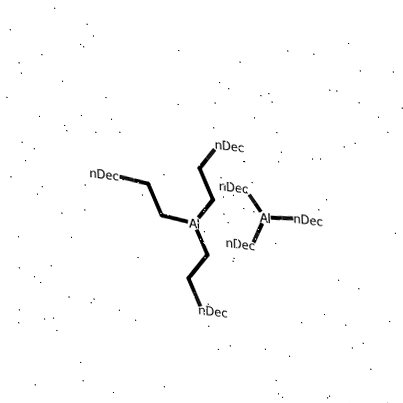 CCCCCCCCCCC[CH2][Al]([CH2]CCCCCCCCCCC)[CH2]CCCCCCCCCCC.CCCCCCCCC[CH2][Al]([CH2]CCCCCCCCC)[CH2]CCCCCCCCC